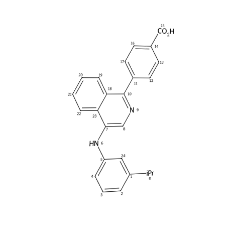 CC(C)c1cccc(Nc2cnc(-c3ccc(C(=O)O)cc3)c3ccccc23)c1